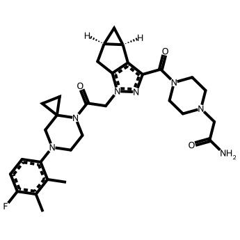 Cc1c(F)ccc(N2CCN(C(=O)Cn3nc(C(=O)N4CCN(CC(N)=O)CC4)c4c3C[C@H]3C[C@@H]43)C3(CC3)C2)c1C